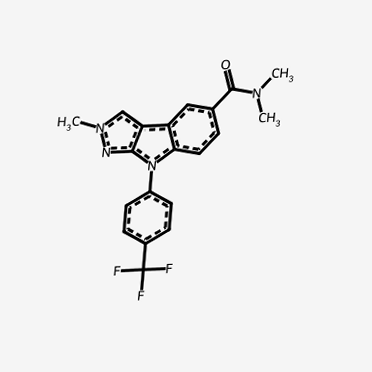 CN(C)C(=O)c1ccc2c(c1)c1cn(C)nc1n2-c1ccc(C(F)(F)F)cc1